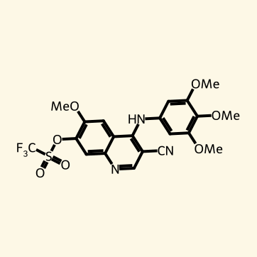 COc1cc2c(Nc3cc(OC)c(OC)c(OC)c3)c(C#N)cnc2cc1OS(=O)(=O)C(F)(F)F